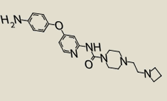 Nc1ccc(Oc2ccnc(NC(=O)N3CCN(CCN4CCC4)CC3)c2)cc1